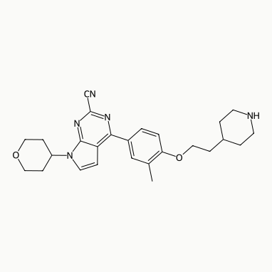 Cc1cc(-c2nc(C#N)nc3c2ccn3C2CCOCC2)ccc1OCCC1CCNCC1